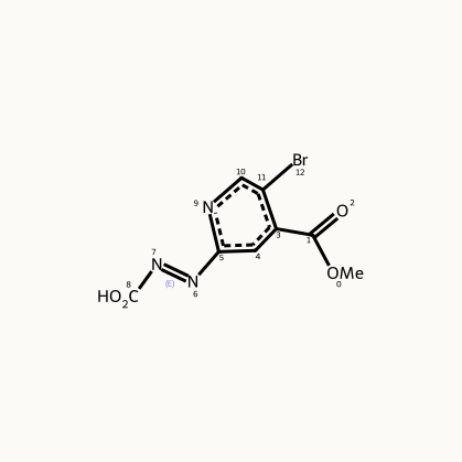 COC(=O)c1cc(/N=N/C(=O)O)ncc1Br